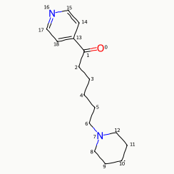 O=C(CCCCCN1CC[CH]CC1)c1ccncc1